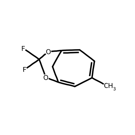 CC1=CC=C2CC(=C1)OC(F)(F)O2